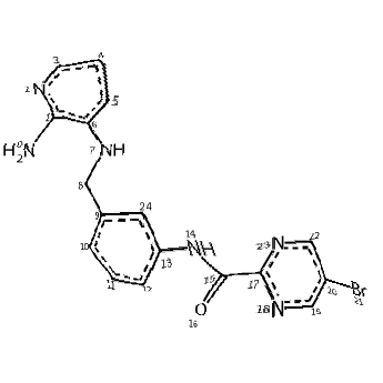 Nc1ncccc1NCc1cccc(NC(=O)c2ncc(Br)cn2)c1